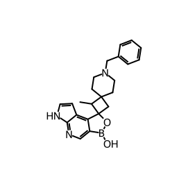 CC1C2(CCN(Cc3ccccc3)CC2)CC12OB(O)c1cnc3[nH]ccc3c12